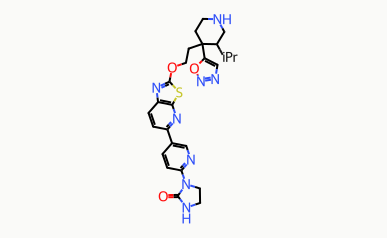 CC(C)C1CNCCC1(CCOc1nc2ccc(-c3ccc(N4CCNC4=O)nc3)nc2s1)c1cnno1